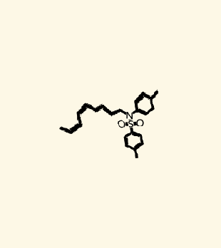 C/C=C\C=C/C/C=C/CN(C1=CCC(C)C=C1)S(=O)(=O)c1ccc(C)cc1